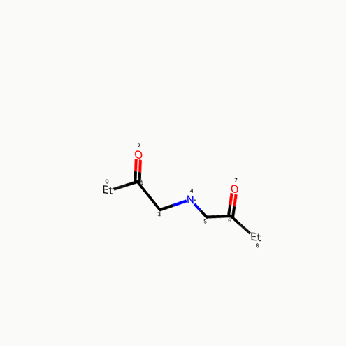 CCC(=O)C[N]CC(=O)CC